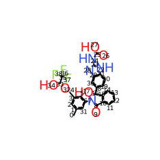 Cc1cc(C)cc(N2C(=O)c3ccccc3C2(O)c2ccc3[nH]c(NC(=O)O)nc3c2)c1.O=C(O)C(F)(F)F